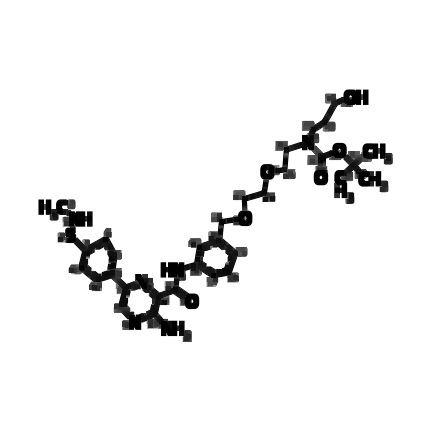 CNSc1ccc(-c2cnc(N)c(C(=O)Nc3cccc(COCCOCCN(CCCO)C(=O)OC(C)(C)C)c3)n2)cc1